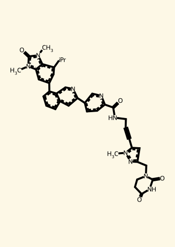 CC(C)c1cc(-c2cccc3cc(-c4ccc(C(=O)NCC#Cc5cc(CN6CCC(=O)NC6=O)nn5C)nc4)ncc23)cc2c1n(C)c(=O)n2C